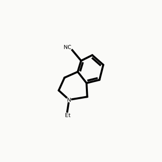 CCN1CCc2c(C#N)cccc2C1